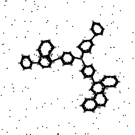 c1ccc(-c2ccc(N(c3ccc(-c4ccc(-c5ccccc5)c5ccccc45)cc3)c3ccc(-c4cc5c6ccccc6ccc5c5ccccc45)cc3)cc2)cc1